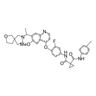 COc1cc2c(Oc3ccc(NC(=O)C4(C(=O)Nc5ccc(C)cc5)CC4)cc3F)ccnc2cc1C(C)N1CCC2(CCOC2)C1